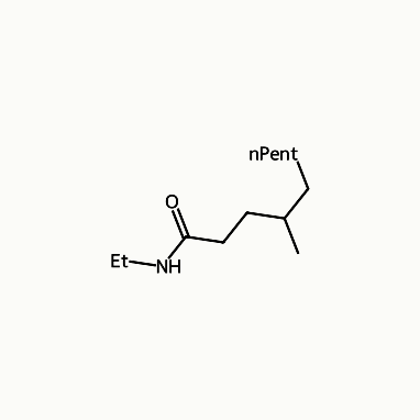 CCCCCCC(C)CCC(=O)NCC